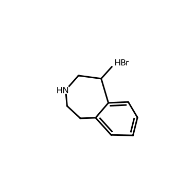 Br.CC1CNCCc2ccccc21